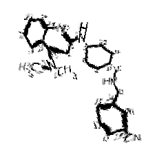 CN(C)c1cc(N[C@H]2CC[C@@H](CNCc3cccc(C#N)c3)CC2)nc2ccccc12